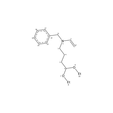 C=CN(CCCC(OCC)OCC)Cc1ccccc1